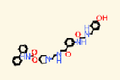 O=C(CNCc1ccc(O)cc1)Nc1cccc(C(=O)CNCCN2CCC(OC(=O)Nc3ccccc3-c3ccccc3)CC2)c1